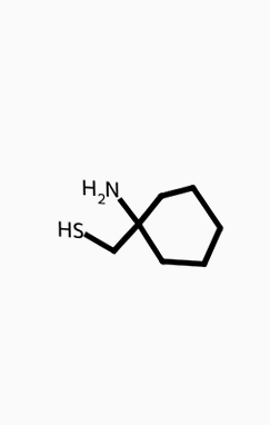 NC1(CS)CCCCC1